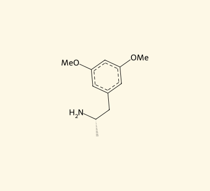 COc1cc(C[C@H](C)N)cc(OC)c1